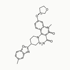 Cc1ccc2oc(C3CCN(c4c(C(N)=O)c(=O)n(C)c5cc(O[C@H]6CCOC6)ccc45)CC3)nc2c1